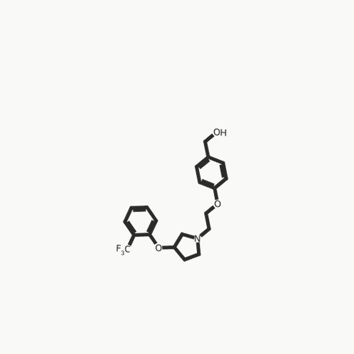 OCc1ccc(OCCN2CCC(Oc3ccccc3C(F)(F)F)C2)cc1